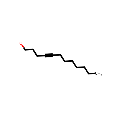 CCCCCCCC#CCCC[O]